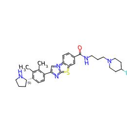 Cc1c(-c2cn3c(n2)sc2cc(C(=O)NCCCN4CCC(F)CC4)ccc23)ccc([C@@H]2CCCN2)c1C